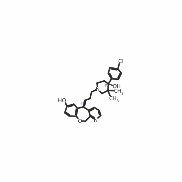 CC1(C)CN(CC/C=C2/c3cc(O)ccc3OCc3ncccc32)CC[C@]1(O)c1ccc(Cl)cc1